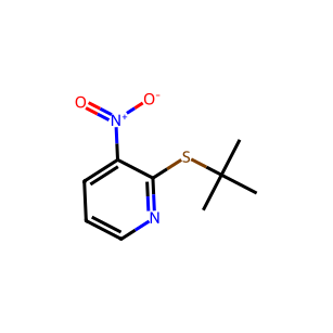 CC(C)(C)Sc1ncccc1[N+](=O)[O-]